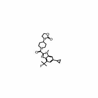 Cn1c(C(=O)N2CCC(N3CCOC3=O)CC2)nc2c(C(C)(C)F)cc(C3CC3)cc21